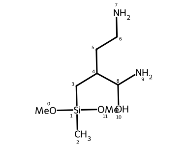 CO[Si](C)(CC(CCN)C(N)O)OC